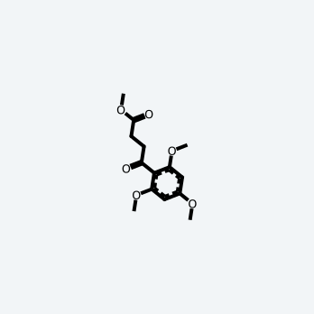 COC(=O)CCC(=O)c1c(OC)cc(OC)cc1OC